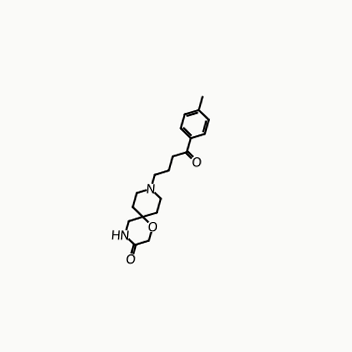 Cc1ccc(C(=O)CCCN2CCC3(CC2)CNC(=O)CO3)cc1